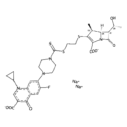 C[C@@H]1C(SCCSC(=S)N2CCN(c3cc4c(cc3F)c(=O)c(C(=O)[O-])cn4C3CC3)CC2)=C(C(=O)[O-])N2C(=O)[C@@H]([C@@H](C)O)[C@H]12.[Na+].[Na+]